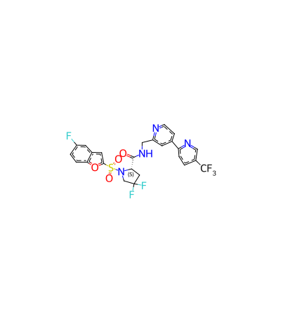 O=C(NCc1cc(-c2ccc(C(F)(F)F)cn2)ccn1)[C@@H]1CC(F)(F)CN1S(=O)(=O)c1cc2cc(F)ccc2o1